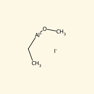 C[CH2][Al+][O]C.[I-]